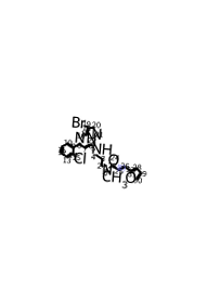 CN(CCCNc1cc(-c2ccccc2Cl)nc2c(Br)cnn12)C(=O)/C=C/c1ccco1